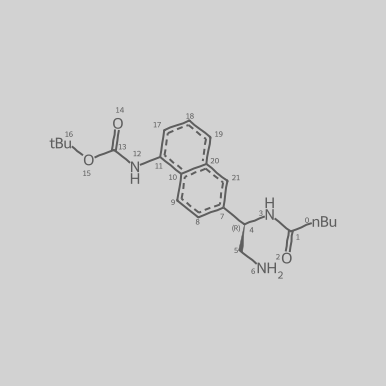 CCCCC(=O)N[C@@H](CN)c1ccc2c(NC(=O)OC(C)(C)C)cccc2c1